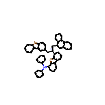 C(=C(\Cc1ccc2sc3ccccc3c2c1)c1cccc2c1sc1c(N(c3ccccc3)c3ccccc3)cccc12)/c1cc2ccccc2c2ccccc12